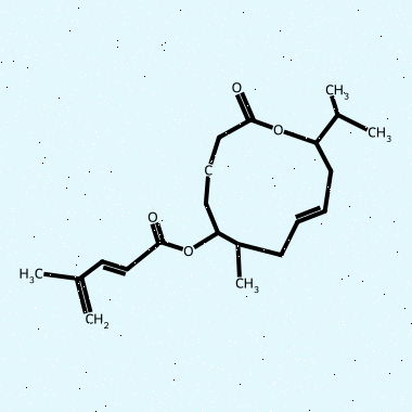 C=C(C)/C=C/C(=O)OC1CCCC(=O)OC(C(C)C)C/C=C/CC1C